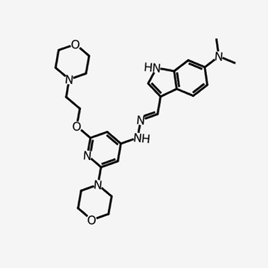 CN(C)c1ccc2c(C=NNc3cc(OCCN4CCOCC4)nc(N4CCOCC4)c3)c[nH]c2c1